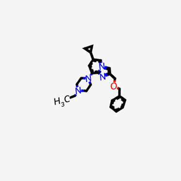 CCN1CCN(c2cc(C3CC3)cn3cc(COCc4ccccc4)nc23)CC1